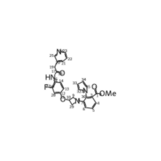 COC(=O)c1cccc(N2CC(Oc3ccc(NC(=O)Cc4cccnc4)c(F)c3)C2)c1-n1cccc1